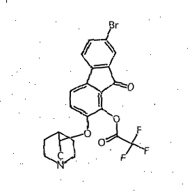 O=C1c2cc(Br)ccc2-c2ccc(OC3CN4CCC3CC4)c(OC(=O)C(F)(F)F)c21